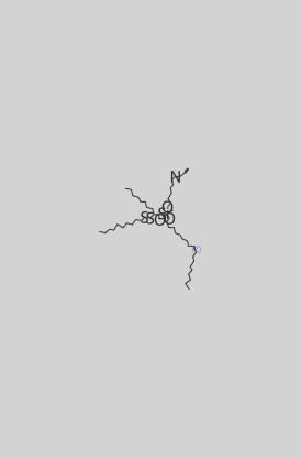 C#CCN(C)CCCCCCO[Si](C)(C)OC(CCCCCCC/C=C\CCCCCCCC)OCC(CCCCCCCC)SSCCCCCCCCCC